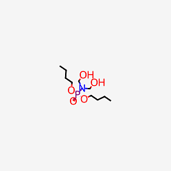 CCCCOP(=O)(OCCCC)N(CO)CO